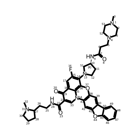 CN1CCN(CCC(=O)N[C@@H]2CCN(c3c(F)cc4c(=O)c(C(=O)NCCC5CCCN5C)cn5c4c3Oc3cc4c(cc3-5)oc3ccccc34)C2)CC1